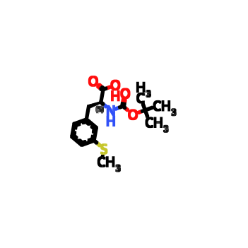 CSc1cccc(C[C@H](NC(=O)OC(C)(C)C)C(=O)O)c1